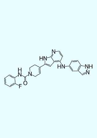 O=C(Nc1ccccc1F)N1CC=C(c2cc3c(Nc4ccc5[nH]ncc5c4)ccnc3[nH]2)CC1